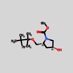 CC(C)C(C)(C)[Si](C)(C)OC[C@H]1C[C@@H](O)CN1C(=O)OC(C)(C)C